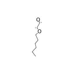 CCCCCCO[CH][C]=O